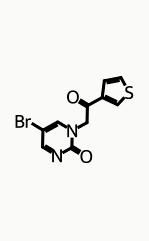 O=C(Cn1cc(Br)cnc1=O)c1ccsc1